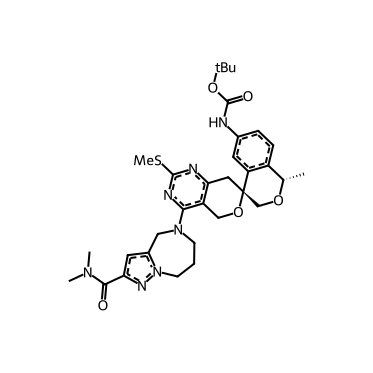 CSc1nc2c(c(N3CCCn4nc(C(=O)N(C)C)cc4C3)n1)CO[C@]1(CO[C@@H](C)c3ccc(NC(=O)OC(C)(C)C)cc31)C2